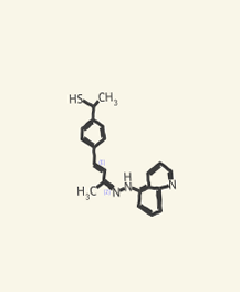 CC(/C=C/c1ccc(C(C)S)cc1)=N/Nc1cccc2ncccc12